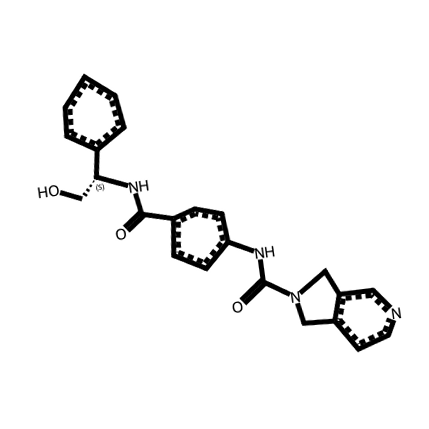 O=C(N[C@H](CO)c1ccccc1)c1ccc(NC(=O)N2Cc3ccncc3C2)cc1